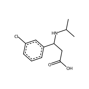 CC(C)NC(CC(=O)O)c1cccc(Cl)c1